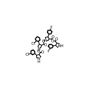 O=C(OC(=O)C1CN(OC(=O)C2CN(OC(=O)C3CNCC3c3cccc(Cl)c3)CC2c2ccccc2Cl)CC1c1ccc(F)cc1)C1CNCC1c1cccc(F)c1